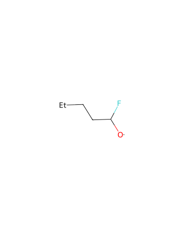 CCCCC([O])F